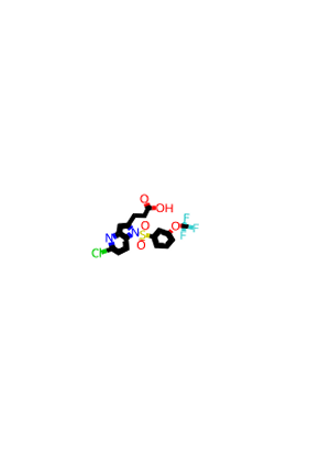 O=C(O)CCc1cc2nc(Cl)ccc2n1S(=O)(=O)c1cccc(OC(F)(F)F)c1